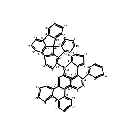 c1ccc(-c2ccccc2-c2ccccc2N(c2ccc3c4ccccc4c4ccccc4c3c2)c2cccc3c2-c2ccccc2C32c3ccccc3-c3ccccc32)cc1